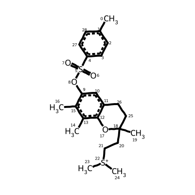 Cc1ccc(S(=O)(=O)Oc2cc3c(c(C)c2C)OC(C)(CC[S+](C)C)CC3)cc1